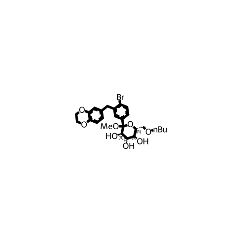 CCCCOC[C@H]1OC(OC)(c2ccc(Br)c(Cc3ccc4c(c3)OCCO4)c2)[C@H](O)[C@@H](O)[C@@H]1O